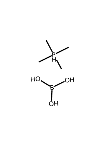 C[PH](C)(C)C.OB(O)O